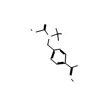 [2H]C([2H])([2H])N(Cc1ccc(C(Cl)=NO)cc1)C(=O)OC(C)(C)C